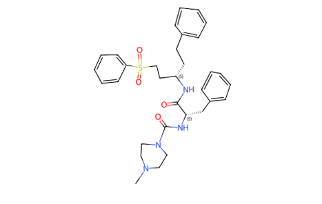 CN1CCN(C(=O)N[C@@H](Cc2ccccc2)C(=O)N[C@@H](CCc2ccccc2)CCS(=O)(=O)c2ccccc2)CC1